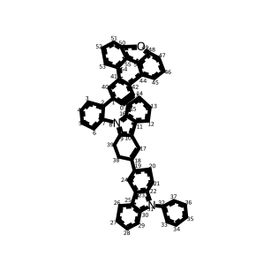 c1c(-c2ccccc2-n2c3c(c4ccccc42)C=C(c2ccc4c(c2)c2ccccc2n4-c2ccccc2)CC3)cc2c(c#1)c1cccc3oc4cccc2c4c31